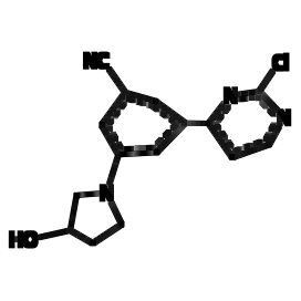 N#Cc1cc(-c2ccnc(Cl)n2)cc(N2CCC(O)C2)c1